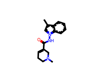 Cc1cn(NC(=O)C2=CCCN(C)C2)c2ccccc12